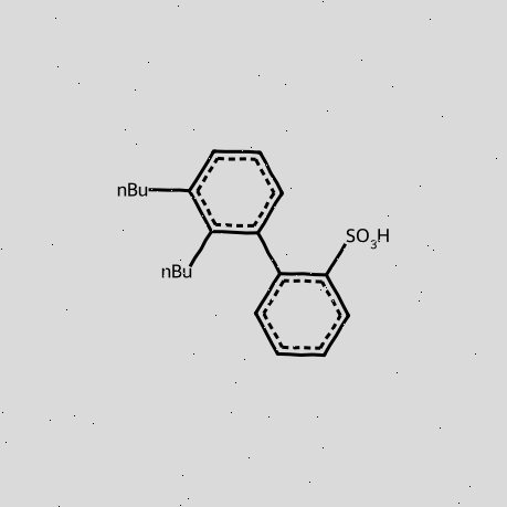 CCCCc1cccc(-c2ccccc2S(=O)(=O)O)c1CCCC